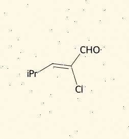 CC(C)/C=C(\Cl)[C]=O